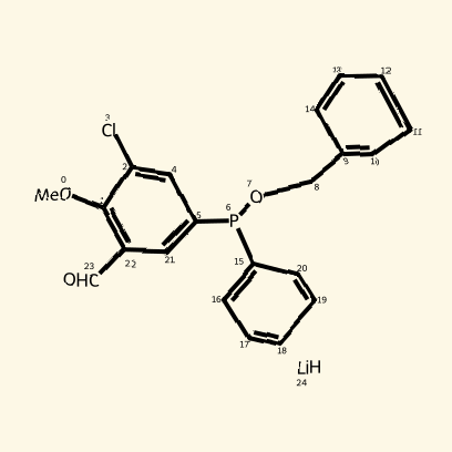 COc1c(Cl)cc(P(OCc2ccccc2)c2ccccc2)cc1C=O.[LiH]